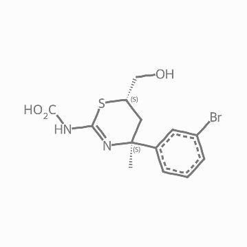 C[C@@]1(c2cccc(Br)c2)C[C@@H](CO)SC(NC(=O)O)=N1